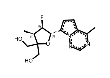 Cc1ncnn2c([C@@H]3OC(CO)(CO)[C@@H](C)[C@H]3F)ccc12